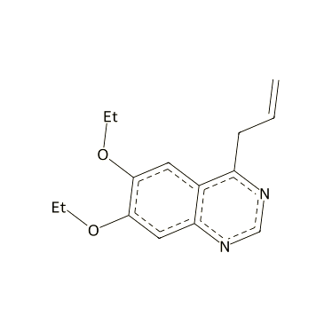 C=CCc1ncnc2cc(OCC)c(OCC)cc12